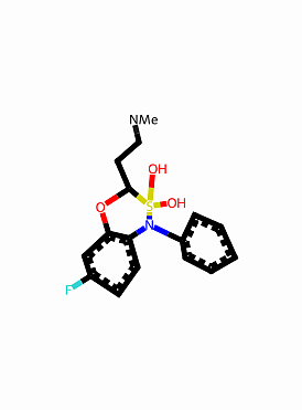 CNCCC1Oc2cc(F)ccc2N(c2ccccc2)S1(O)O